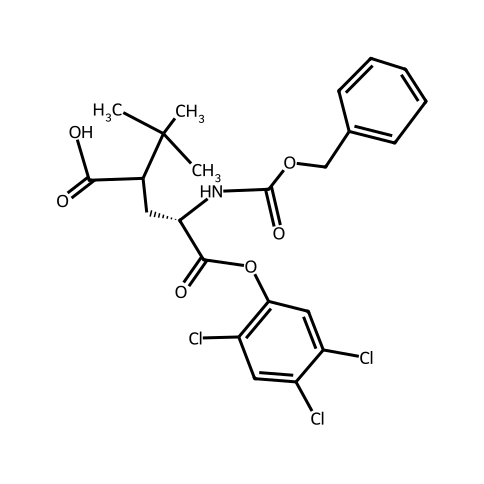 CC(C)(C)C(C[C@H](NC(=O)OCc1ccccc1)C(=O)Oc1cc(Cl)c(Cl)cc1Cl)C(=O)O